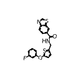 O=C(NCc1ccc(Oc2cccc(F)c2)s1)c1ccc2ncsc2c1